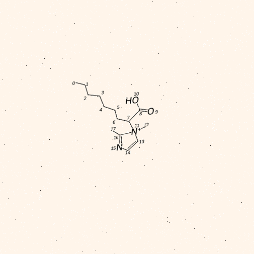 CCCCCCCC(C(=O)O)[N+]1(C)C=CN=C1C